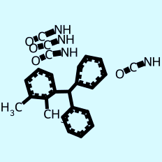 Cc1cccc(C(c2ccccc2)c2ccccc2)c1C.N=C=O.N=C=O.N=C=O.N=C=O